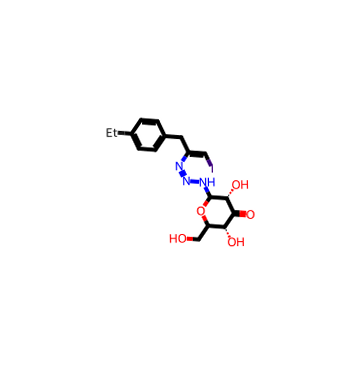 CCc1ccc(CC(=C/I)/N=N\NC2OC(CO)[C@@H](O)C(=O)[C@H]2O)cc1